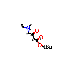 CN(C)CC(=O)CC(=O)OC(C)(C)C